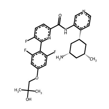 C[C@@H]1C[C@H](N)C[C@H](c2ccncc2NC(=O)c2ccc(F)c(-c3c(F)cc(OCC(C)(C)O)cc3F)n2)C1